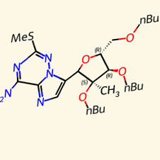 CCCCOC[C@H]1OC(c2cnc3c(N)nc(SC)nn23)[C@](C)(OCCCC)[C@@H]1OCCCC